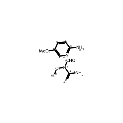 CCON(C=O)C(N)=S.COc1ccc(N)nc1